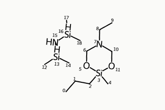 CCC[Si]1(C)OCN(CC)CO1.C[SiH](C)N[SiH](C)C